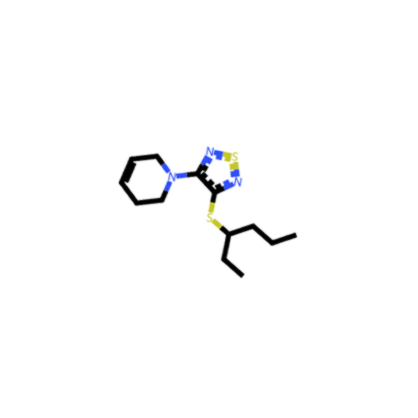 CCCC(CC)Sc1nsnc1N1CC=CCC1